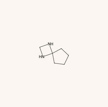 C1CCC2(C1)NCN2